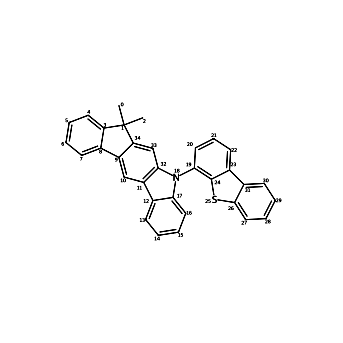 CC1(C)c2ccccc2-c2cc3c4ccccc4n(-c4cccc5c4sc4ccccc45)c3cc21